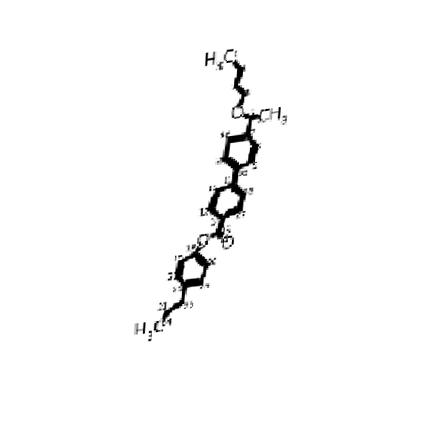 CCCCOC(C)c1ccc(-c2ccc(C(=O)Oc3ccc(CCC)cc3)cc2)cc1